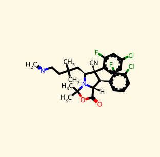 C=NCCC(C)(C)C[C@@H]1N2[C@@H](C(=O)OC2(C)C)[C@H](c2cccc(Cl)c2F)[C@@]1(C#N)c1ccc(Cl)cc1F